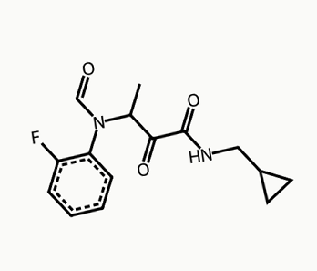 CC(C(=O)C(=O)NCC1CC1)N(C=O)c1ccccc1F